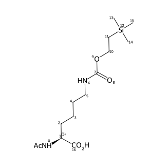 CC(=O)N[C@@H](CCCCNC(=O)OCC[Si](C)(C)C)C(=O)O